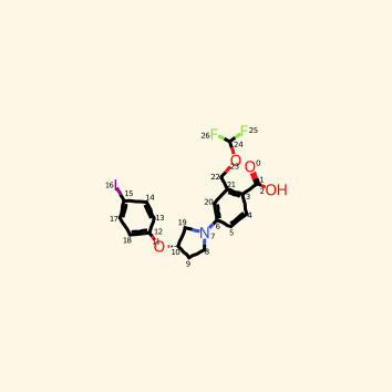 O=C(O)c1ccc(N2CC[C@H](Oc3ccc(I)cc3)C2)cc1COC(F)F